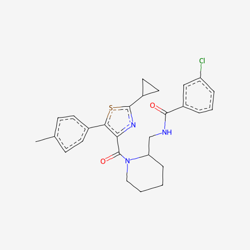 Cc1ccc(-c2sc(C3CC3)nc2C(=O)N2CCCCC2CNC(=O)c2cccc(Cl)c2)cc1